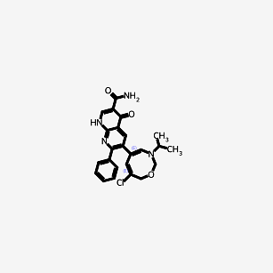 CC(C)N1/C=C(c2cc3c(=O)c(C(N)=O)c[nH]c3nc2-c2ccccc2)\C=C(\Cl)COC1